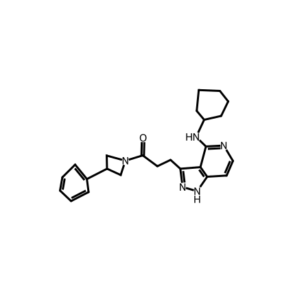 O=C(CCc1n[nH]c2ccnc(NC3CCCCC3)c12)N1CC(c2ccccc2)C1